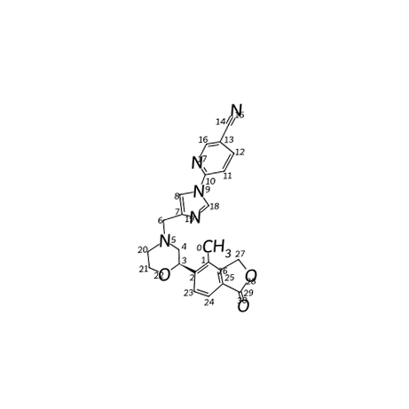 Cc1c([C@@H]2CN(Cc3cn(-c4ccc(C#N)cn4)cn3)CCO2)ccc2c1COC2=O